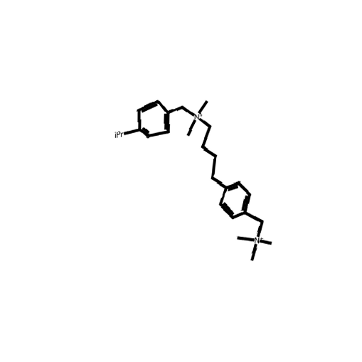 CC(C)c1ccc(C[N+](C)(C)CCCCc2ccc(C[N+](C)(C)C)cc2)cc1